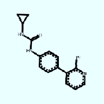 CC(C)c1ncccc1-c1ccc(NC(=O)NC2CC2)cc1